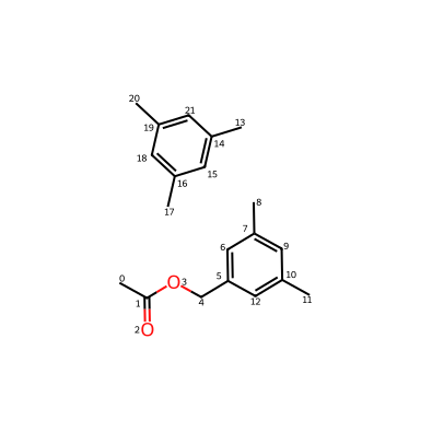 CC(=O)OCc1cc(C)cc(C)c1.Cc1cc(C)cc(C)c1